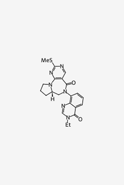 CCn1cnc2c(N3C[C@@H]4CCCN4c4nc(SC)ncc4C3=O)cccc2c1=O